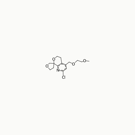 COCCOCc1cc(Cl)nc2c1CCOC21CCOC1